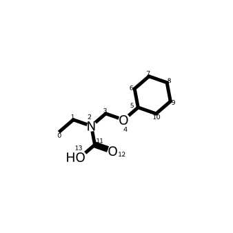 CCN(COC1CCCCC1)C(=O)O